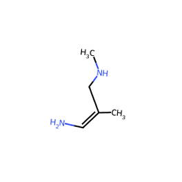 CNC/C(C)=C\N